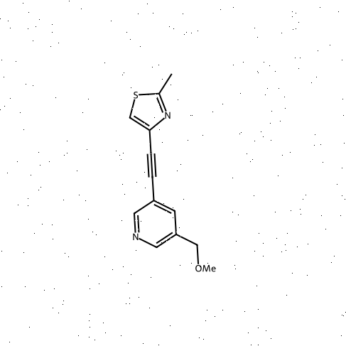 COCc1cncc(C#Cc2csc(C)n2)c1